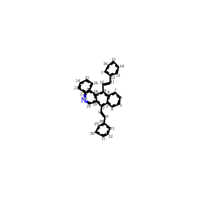 C(=C\c1c2ccccc2c(/C=C/c2ccccc2)c2c1cnc1ccccc12)/c1ccccc1